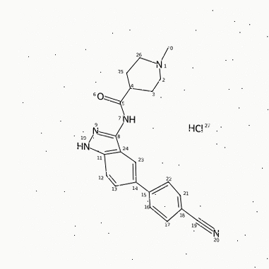 CN1CCC(C(=O)Nc2n[nH]c3ccc(-c4ccc(C#N)cc4)cc23)CC1.Cl